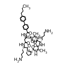 CCCCc1ccc(-c2ccc(C(=O)NCCC(=O)N[C@@H](CCCCN)C(=O)N3CCC[C@H]3C(=O)N[C@@H](C)C(=O)N[C@@H](CCCCN)C(=O)N[C@@H](C)B(O)O)cc2)cc1